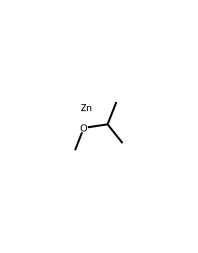 COC(C)C.[Zn]